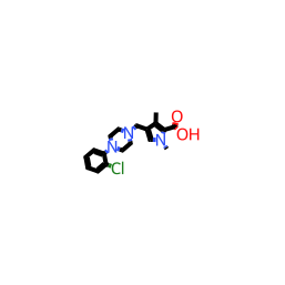 Cc1c(CN2CCN(c3ccccc3Cl)CC2)cn(C)c1C(=O)O